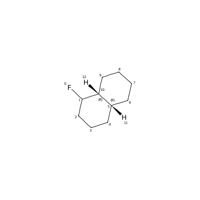 FC1CCC[C@H]2CCCC[C@@H]12